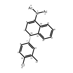 CC(=O)N(C(C)=O)C1=CC[C@@H](c2ccc(Cl)c(C)c2)c2ccccc21